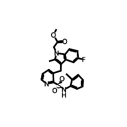 COC(=O)Cn1c(C)c(Cc2cccnc2S(=O)(=O)Nc2ccccc2C)c2cc(F)ccc21